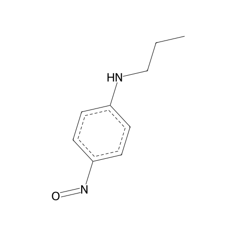 CCCNc1ccc(N=O)cc1